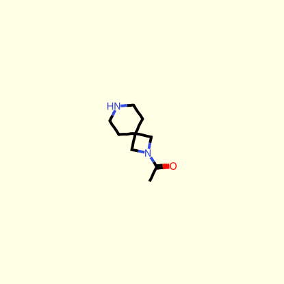 CC(=O)N1CC2(CCNCC2)C1